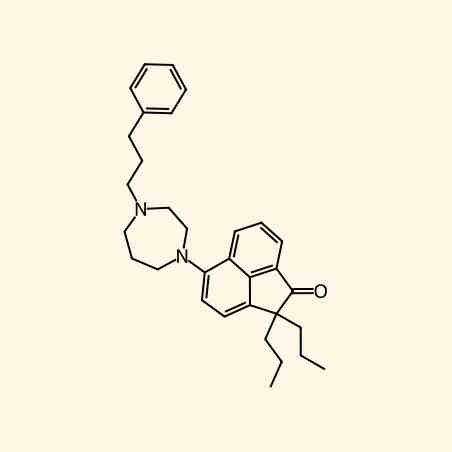 CCCC1(CCC)C(=O)c2cccc3c(N4CCCN(CCCc5ccccc5)CC4)ccc1c23